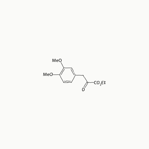 CCOC(=O)C(=O)Cc1ccc(OC)c(OC)c1